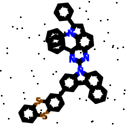 c1ccc(-c2nc(-n3c4ccc(-c5ccc6c(c5)Sc5ccccc5S6)cc4c4c5ccccc5ccc43)nc3ccc4cc(-c5ccccc5)n(-c5ccccc5)c4c23)cc1